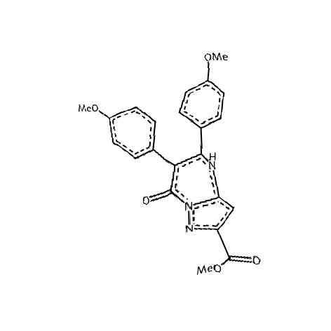 COC(=O)c1cc2[nH]c(-c3ccc(OC)cc3)c(-c3ccc(OC)cc3)c(=O)n2n1